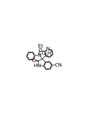 CCOc1ncccc1C1(N(C(=O)O)c2ccccc2)C(=O)Nc2ccc(C#N)cc21